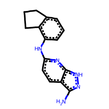 Nc1n[nH]c2nc(Nc3cccc4c3CCC4)ccc12